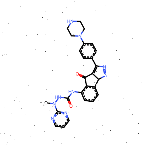 CN(NC(=O)Nc1cccc2c1C(=O)C1=C(c3ccc(N4CCNCC4)cc3)N=NC12)c1ncccn1